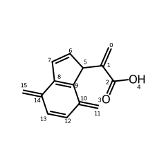 C=C(C(=O)O)C1C=Cc2c1c(=C)ccc2=C